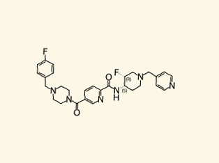 O=C(N[C@H]1CCN(Cc2ccncc2)C[C@H]1F)c1ccc(C(=O)N2CCN(Cc3ccc(F)cc3)CC2)cn1